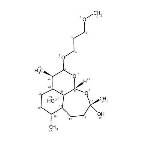 COCCCOC1O[C@@H]2O[C@](C)(O)CCC3[C@H](C)CCC([C@H]1C)[C@]32O